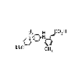 CCO[C@H]1CC[C@](C)(N2CCC(Nc3cc(C)ccc3/C=C/C(=O)O)CC2)CC1